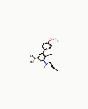 CC#CCN(C)c1cc(C(CC)CCCC)cc(-c2ccc(OC(F)(F)F)cc2)c1C